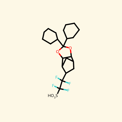 O=S(=O)(O)C(F)(F)C(F)(F)C1CC2CC1C1OC(C3CCCCC3)(C3CCCCC3)OC21